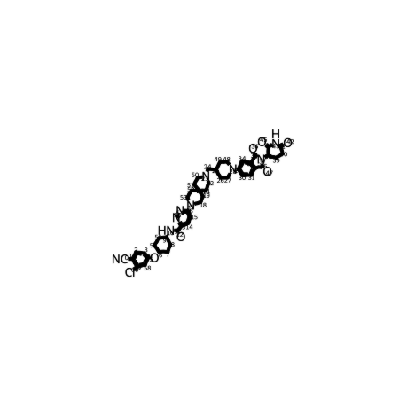 N#Cc1ccc(O[C@H]2CC[C@H](NC(=O)c3ccc(N4CCC5(CCN(CC6CCN(c7ccc8c(c7)C(=O)N(C7CCC(=O)NC7=O)C8=O)CC6)CC5)CC4)nn3)CC2)cc1Cl